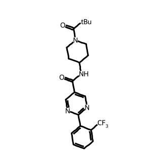 CC(C)(C)C(=O)N1CCC(NC(=O)c2cnc(-c3ccccc3C(F)(F)F)nc2)CC1